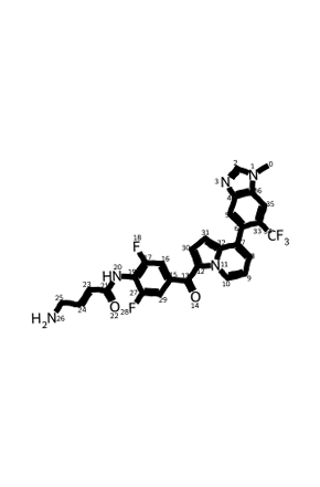 Cn1cnc2cc(-c3cccn4c(C(=O)c5cc(F)c(NC(=O)/C=C/CN)c(F)c5)ccc34)c(C(F)(F)F)cc21